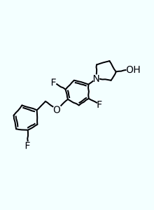 OC1CCN(c2cc(F)c(OCc3cccc(F)c3)cc2F)C1